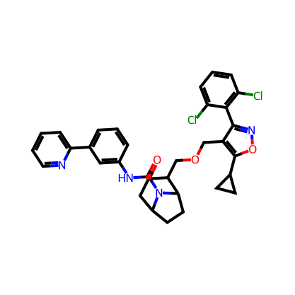 O=C(Nc1cccc(-c2ccccn2)c1)N1C2CCC(COCc3c(-c4c(Cl)cccc4Cl)noc3C3CC3)C1CC2